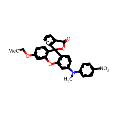 COCOc1ccc2c(c1)Oc1cc(N(C)c3ccc([N+](=O)[O-])cc3)ccc1C21OC(=O)c2ccccc21